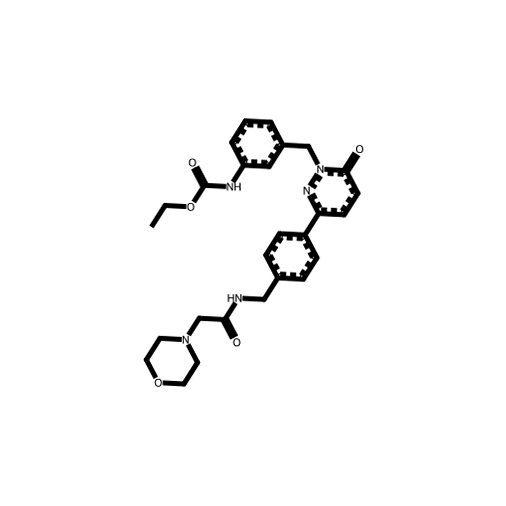 CCOC(=O)Nc1cccc(Cn2nc(-c3ccc(CNC(=O)CN4CCOCC4)cc3)ccc2=O)c1